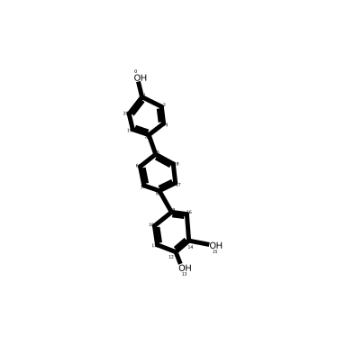 Oc1ccc(-c2ccc(-c3ccc(O)c(O)c3)cc2)cc1